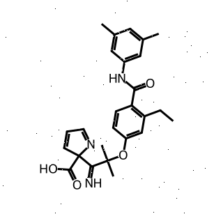 CCc1cc(OC(C)(C)C(=N)C2(C(=O)O)C=CC=N2)ccc1C(=O)Nc1cc(C)cc(C)c1